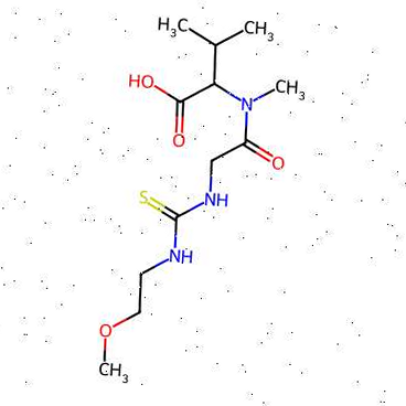 COCCNC(=S)NCC(=O)N(C)C(C(=O)O)C(C)C